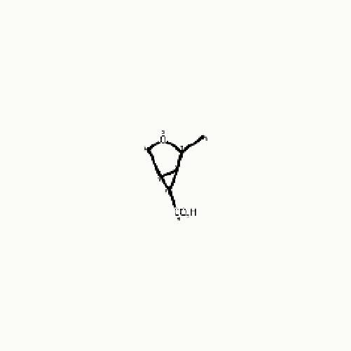 CC1OCC2C(C(=O)O)C12